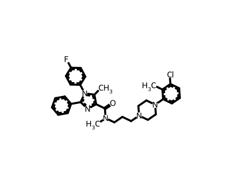 Cc1c(Cl)cccc1N1CCN(CCCN(C)C(=O)c2nc(-c3ccccc3)n(-c3ccc(F)cc3)c2C)CC1